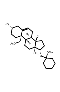 COC1(O[C@H]2CC[C@H]3[C@@H]4CC=C5C[C@@H](O)CC[C@]5(COC(C)=O)[C@H]4CC[C@]23C)CCCCC1